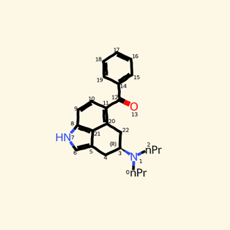 CCCN(CCC)[C@H]1Cc2c[nH]c3ccc(C(=O)c4ccccc4)c(c23)C1